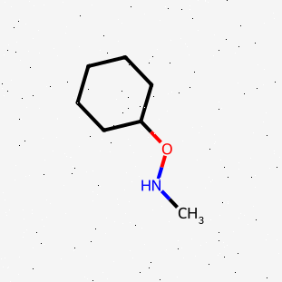 CNOC1CCCCC1